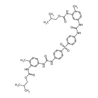 Cc1ccc(NC(=O)Nc2ccc(S(=O)(=O)c3ccc(NC(=O)Nc4ccc(C)c(NC(=O)OCC(C)C)c4)cc3)cc2)cc1NC(=O)OCC(C)C